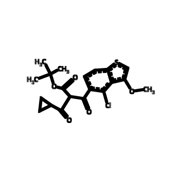 COc1csc2ccc(C(=O)C(C(=O)OC(C)(C)C)C(=O)C3CC3)c(Cl)c12